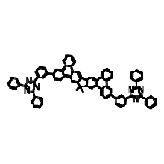 CC1(C)c2cc3c4ccc(-c5cccc(-c6nc(-c7ccccc7)nc(-c7ccccc7)n6)c5)cc4c4ccccc4c3cc2-c2cc3c4ccccc4c4cc(-c5cccc(-c6nc(-c7ccccc7)nc(-c7ccccc7)n6)c5)ccc4c3cc21